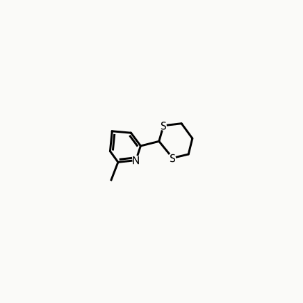 Cc1cccc(C2SCCCS2)n1